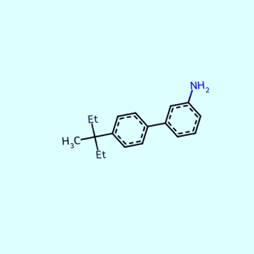 CCC(C)(CC)c1ccc(-c2cccc(N)c2)cc1